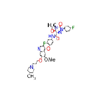 COc1cc2c(Oc3ccc(NC(=O)c4nn(-c5ccc(F)cc5)c(=O)n(C)c4=O)cc3F)ccnc2cc1OCCCN1CCC(C)CC1